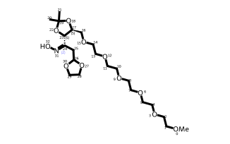 COCCOCCOCCOCCOCCOC[C@@H]1OC(C)(C)O[C@H]1/C(CC1OCCO1)=N\O